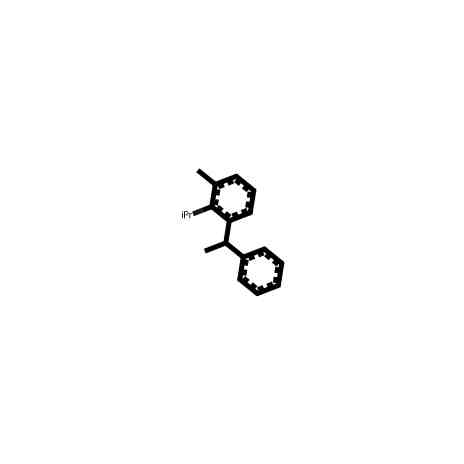 Cc1cccc(C(C)c2ccccc2)c1C(C)C